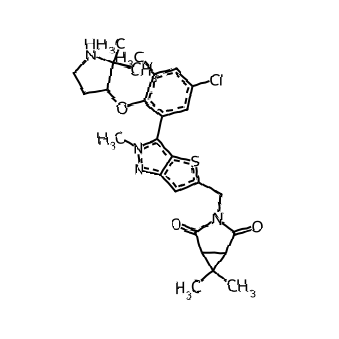 Cc1cc(Cl)cc(-c2c3sc(CN4C(=O)C5C(C4=O)C5(C)C)cc3nn2C)c1OC1CCNC1(C)C